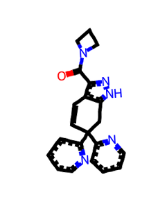 O=C(c1n[nH]c2c1C=CC(c1ccccn1)(c1ccccn1)C2)N1CCC1